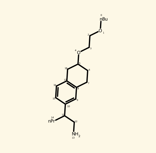 CCCCOCCOC1CCc2cc(C(CN)CCC)ccc2C1